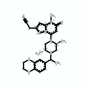 CC(c1ccc2c(c1)OCCO2)N1C[C@H](C)N(c2cc(=O)n(C)c3cc(CC#N)nn23)C[C@H]1C